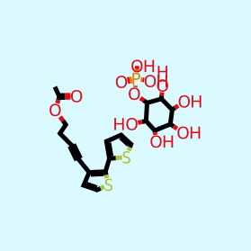 CC(=O)OCCC#Cc1ccsc1-c1cccs1.O=P(O)(O)OC1C(O)C(O)C(O)C(O)C1O